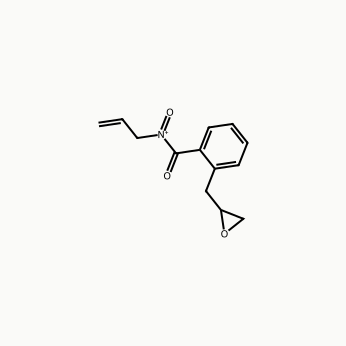 C=CC[N+](=O)C(=O)c1ccccc1CC1CO1